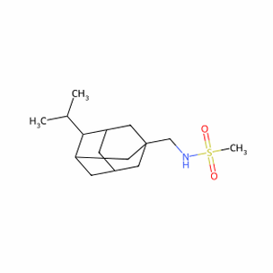 CC(C)C1C2CC3CC1CC(CNS(C)(=O)=O)(C3)C2